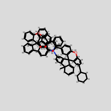 CC12CC=CC=C1C1(c3cc(C4CCCCC4)ccc3Oc3ccc(C4CCCCC4)cc31)c1cc(N(c3ccc4c(c3)C3(c5ccccc5Oc5ccccc53)c3ccccc3-4)c3ccccc3-c3cccc4ccccc34)ccc12